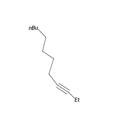 [CH2]CC#CCCCCCCCC